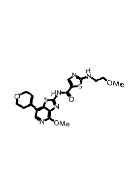 COCCNc1ncc(C(=O)Nc2nc3c(OC)ncc(C4=CCOCC4)c3s2)s1